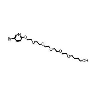 OCCCCOCCOCCOCCOCCOCCOc1ccc(Br)cn1